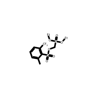 CCOP(=O)(COS(=O)(=O)c1c(C)cccc1C(F)(F)F)OCC